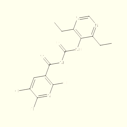 CCc1ncnc(CC)c1NC(=O)NC(=O)c1cc(Cl)c(Cl)nc1Cl